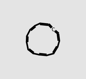 C1=C=CC=CC=CC=CC=CC=CC=C=1